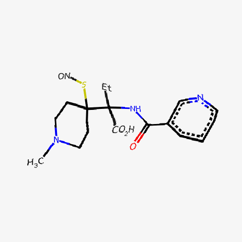 CCC(NC(=O)c1cccnc1)(C(=O)O)C1(SN=O)CCN(C)CC1